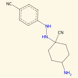 N#Cc1ccc(NNC2(C#N)CCC(N)CC2)cc1